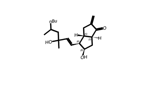 C=C1C[C@H]2[C@H](C=CC(C)(O)CC(C)CCCC)[C@H](O)C[C@@H]2C1=O